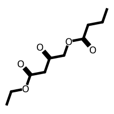 CCCC(=O)OCC(=O)CC(=O)OCC